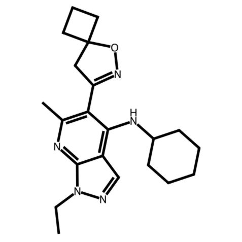 CCn1ncc2c(NC3CCCCC3)c(C3=NOC4(CCC4)C3)c(C)nc21